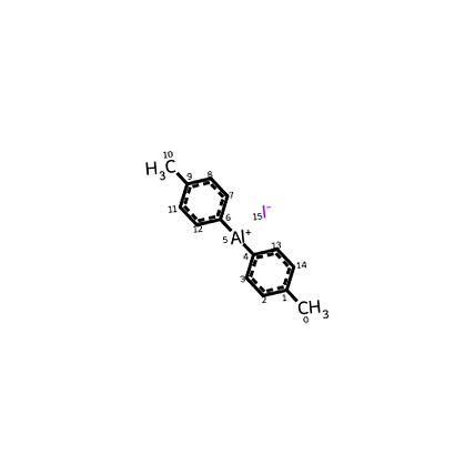 Cc1cc[c]([Al+][c]2ccc(C)cc2)cc1.[I-]